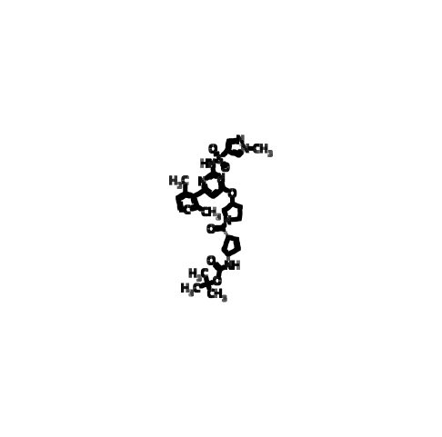 Cc1cccc(C)c1-c1cc(OC2CCN(C(=O)[C@@H]3C=C[C@H](NC(=O)OC(C)(C)C)C3)C2)nc(NS(=O)(=O)c2cnn(C)c2)n1